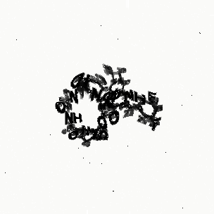 C[C@@H]1NC(=O)[C@H](C)N(C)C(=O)[C@@H]2CCCN2C(=O)[C@@H](NC(=O)[C@H](Cc2cc(F)cc(F)c2)NC(=O)C=C2CCC2)COC(=O)[C@@H]2CCCN2C1=O